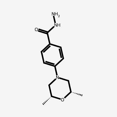 C[C@@H]1CN(c2ccc(C(=O)NN)cc2)C[C@H](C)O1